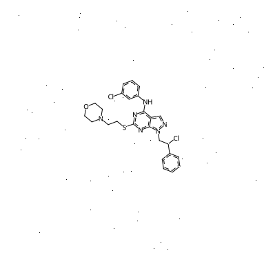 Clc1cccc(Nc2nc(SCCN3CCOCC3)nc3c2cnn3CC(Cl)c2ccccc2)c1